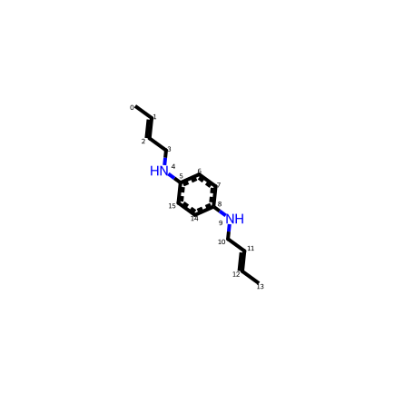 CC=CCNc1ccc(NCC=CC)cc1